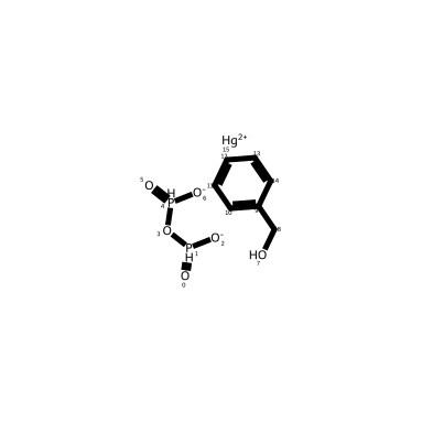 O=[PH]([O-])O[PH](=O)[O-].OCc1ccccc1.[Hg+2]